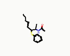 CCCCCC(Sc1ccccc1)C(C)NC(C)=O